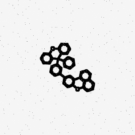 c1ccc(C2(c3cccc(-c4ccc5c(c4)-c4cccc6cccc(c46)O5)c3)c3ccccc3Oc3ccccc32)cc1